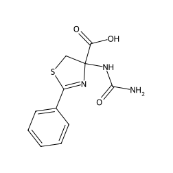 NC(=O)NC1(C(=O)O)CSC(c2ccccc2)=N1